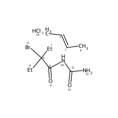 C/C=C/C.CCC(Br)(CC)C(=O)NC(N)=O.Cl